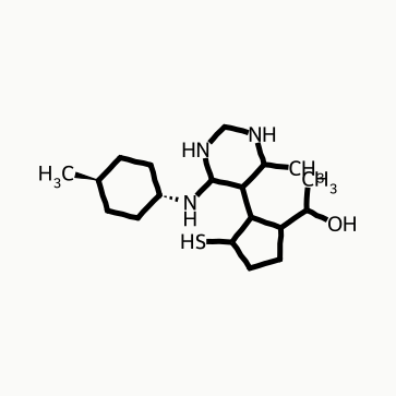 CC(O)C1CCC(S)C1C1C(C)NCNC1N[C@H]1CC[C@H](C)CC1